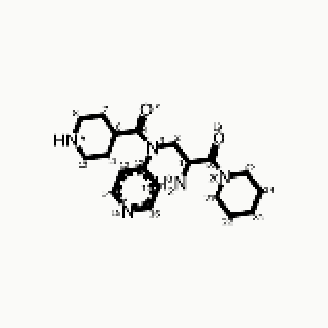 NC(CN(C(=O)C1CCNCC1)c1ccncc1)C(=O)N1CCCCC1